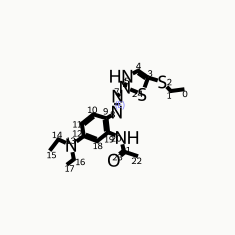 CCSC1=CNN(/N=N/c2ccc(N(CC)CC)cc2NC(C)=O)S1